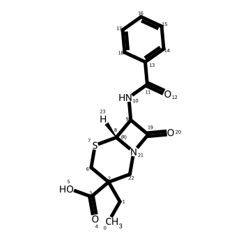 CCC1(C(=O)O)CS[C@@H]2C(NC(=O)c3ccccc3)C(=O)N2C1